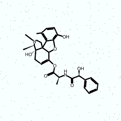 Cc1ccc(O)c2c1C13CCN(C)[C@H](C)[C@]1(O)CC=C(OC(=O)[C@H](C)NC(=O)[C@@H](O)c1ccccc1)C3O2